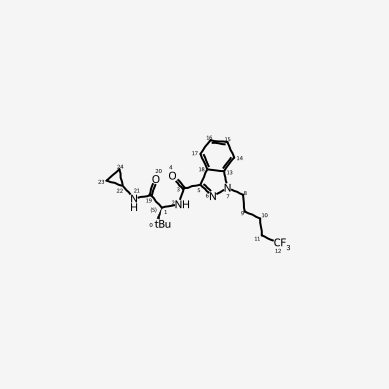 CC(C)(C)[C@H](NC(=O)c1nn(CCCCC(F)(F)F)c2ccccc12)C(=O)NC1CC1